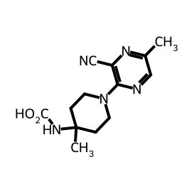 Cc1cnc(N2CCC(C)(NC(=O)O)CC2)c(C#N)n1